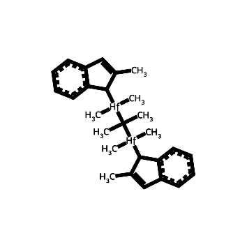 CC1=Cc2ccccc2[CH]1[Hf]([CH3])([CH3])[C](C)(C)[Hf]([CH3])([CH3])[CH]1C(C)=Cc2ccccc21